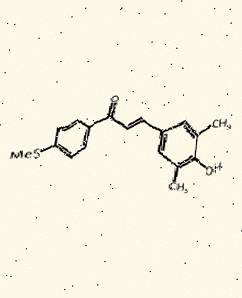 CSc1ccc(C(=O)C=Cc2cc(C)c(O)c(C)c2)cc1